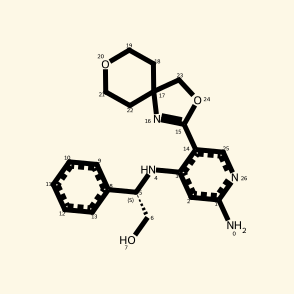 Nc1cc(N[C@H](CO)c2ccccc2)c(C2=NC3(CCOCC3)CO2)cn1